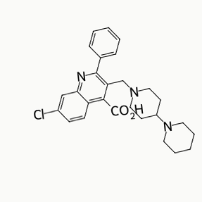 O=C(O)c1c(CN2CCC(N3CCCCC3)CC2)c(-c2ccccc2)nc2cc(Cl)ccc12